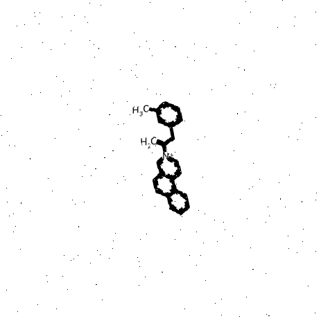 C=C(Cc1cccc(C)c1)[n+]1ccc2c(ccc3ccccc32)c1